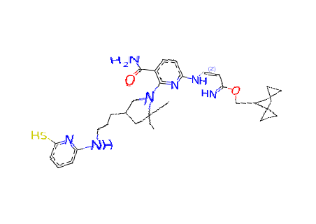 CC1(C)CC(CCCNc2cccc(S)n2)CN1c1nc(N/C=C\C(=N)OCC2C3(CC3)C23CC3)ccc1C(N)=O